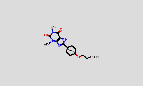 CCCn1c(=O)c2[nH]c(C34CCC(OCCC(=O)O)(CC3)CC4)nc2n(CCC)c1=O